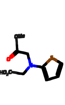 COC(=O)CN(CC(=O)O)c1cccs1